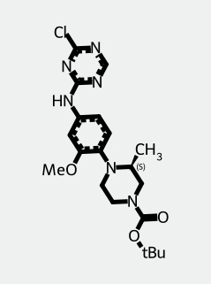 COc1cc(Nc2ncnc(Cl)n2)ccc1N1CCN(C(=O)OC(C)(C)C)C[C@@H]1C